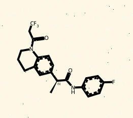 C[C@H](C(=O)Nc1ccc(F)cc1)c1ccc2c(c1)CCCN2C(=O)CC(F)(F)F